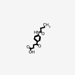 CCCC(=O)Nc1ccc(C(=O)CCC(=O)O)cc1